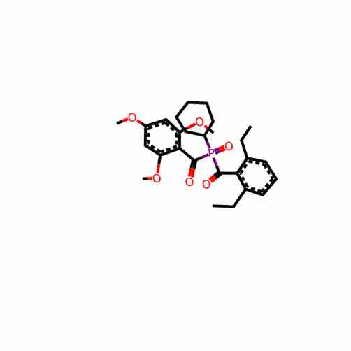 CCc1cccc(CC)c1C(=O)P(=O)(C(=O)c1c(OC)cc(OC)cc1OC)C1CCCCC1